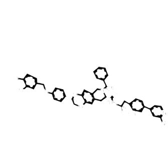 CCCc1cc(-c2ccc(C[C@H](NC(=O)[C@@H]3Cc4cc5c(cc4CN3[C@@H](CC)c3ccccc3)O[C@@H](c3ccc(OCc4ccc(Cl)c(Cl)c4)cc3)CO5)C(=O)O)cc2)ccn1